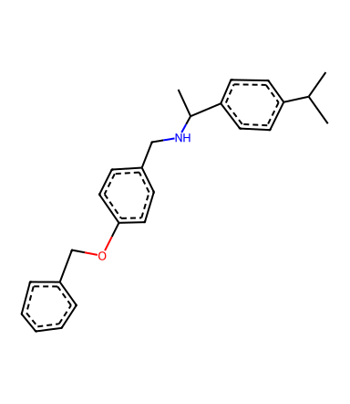 CC(C)c1ccc(C(C)NCc2ccc(OCc3ccccc3)cc2)cc1